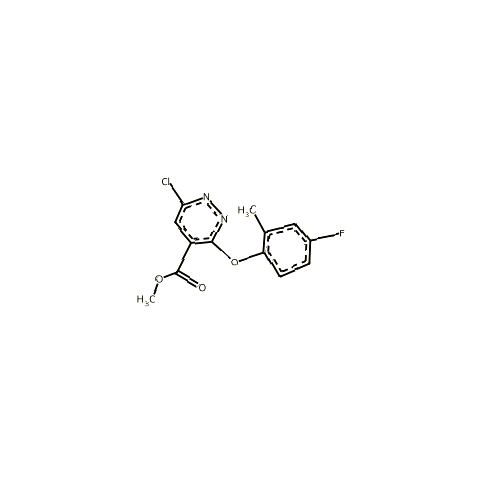 COC(=O)c1cc(Cl)nnc1Oc1ccc(F)cc1C